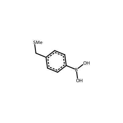 CSCc1ccc(B(O)O)cc1